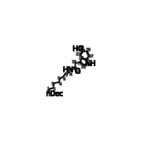 CCCCCCCCCCCCCCCCCCNC(=O)Cc1c[nH]c2ccc(O)cc12